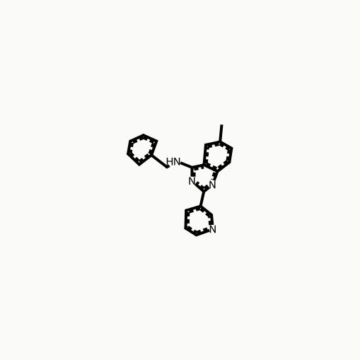 Cc1ccc2nc(-c3cccnc3)nc(NCc3ccccc3)c2c1